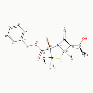 C[C@H](O)[C@@H]1C(=O)N2[C@@H]1SC(C)(C)[C@]2(Br)C(=O)OCc1ccccc1